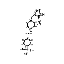 N#Cc1[nH]nnc1Cc1ccc(OCc2ccc(C(F)(F)F)cc2)cc1